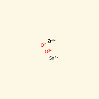 [O-2].[O-2].[Sn+4].[Zr+4]